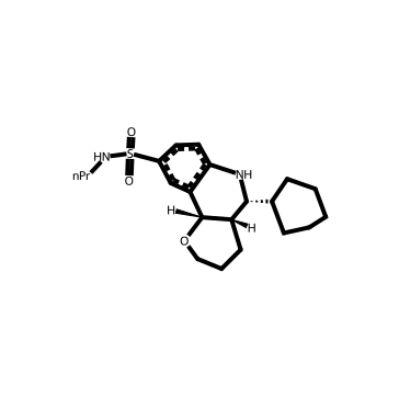 CCCNS(=O)(=O)c1ccc2c(c1)[C@H]1OCCC[C@H]1[C@@H](C1CCCCC1)N2